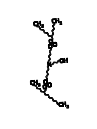 CCCCCCCCC(CCCCCC)COC(=O)OCCCCCCN(CCCCO)CCCCCCOC(=O)OCC(CCCCCC)CCCCCCCC